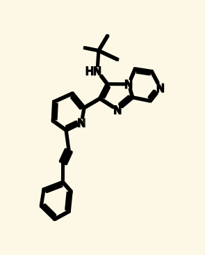 CC(C)(C)Nc1c(-c2cccc(C#Cc3ccccc3)n2)nc2cnccn12